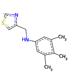 Cc1cc(NCc2cs[c]n2)cc(C)c1C